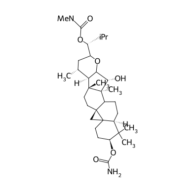 CNC(=O)O[C@H](C(C)C)C1C[C@@H](C)[C@H]2C(O1)[C@H](O)[C@@]1(C)C3CC[C@H]4C(C)(C)[C@@H](OC(N)=O)CCC45C[C@@]35CC[C@]21C